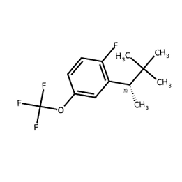 C[C@H](c1cc(OC(F)(F)F)ccc1F)C(C)(C)C